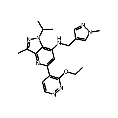 CCOc1nnccc1-c1cc(NCc2cnn(C)c2)c2c(n1)c(C)nn2C(C)C